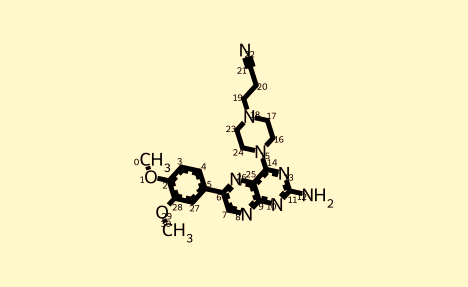 COc1ccc(-c2cnc3nc(N)nc(N4CCN(CCC#N)CC4)c3n2)cc1OC